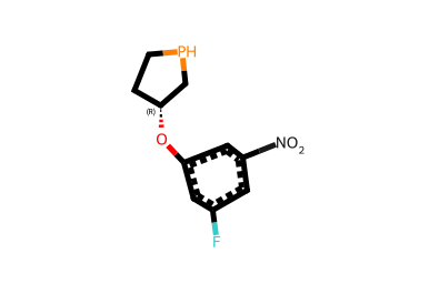 O=[N+]([O-])c1cc(F)cc(O[C@@H]2CCPC2)c1